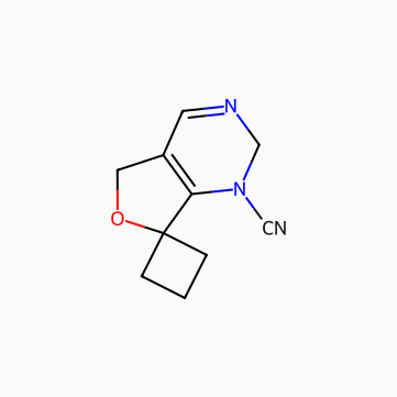 N#CN1CN=CC2=C1C1(CCC1)OC2